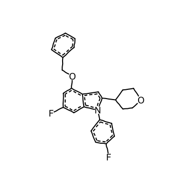 Fc1ccc(-n2c(C3CCOCC3)cc3c(OCc4ccccc4)cc(F)cc32)cc1